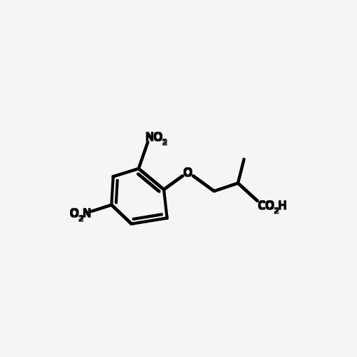 CC(COc1ccc([N+](=O)[O-])cc1[N+](=O)[O-])C(=O)O